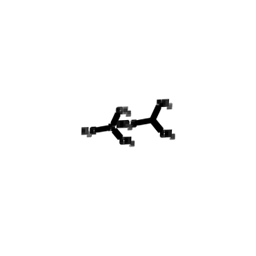 CC(N)S(=O)(=O)O.CN(C)C